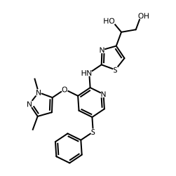 Cc1cc(Oc2cc(Sc3ccccc3)cnc2Nc2nc(C(O)CO)cs2)n(C)n1